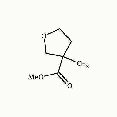 COC(=O)C1(C)CCOC1